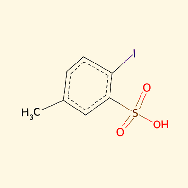 Cc1ccc(I)c(S(=O)(=O)O)c1